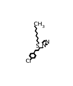 CCCCCCCCCSC(C=Cc1ccc(Cl)cc1)Cn1ccnc1